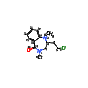 CCN1CC(CCCl)N(C)c2ccccc2C1=O